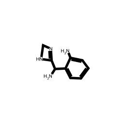 Nc1ccccc1C(N)C1=NCN1